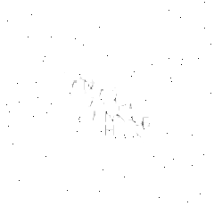 C=C/C(=C\C(=C/C)CN/C(=C/C(C)=C(/F)C=C)C(C)C=C)C/N=C\C(=C)C